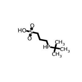 CC(C)(C)PCCCS(=O)(=O)O